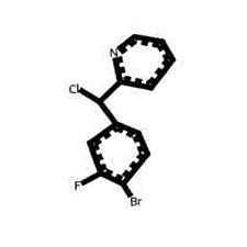 Fc1cc(C(Cl)c2ccccn2)ccc1Br